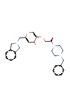 O=C(COC1=COC(CN2Cc3ccccc3C2)=CC1O)N1CCN(Cc2ccccc2)CC1